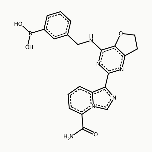 NC(=O)c1cccc2c(-c3nc4c(c(NCc5cccc(B(O)O)c5)n3)OCC4)ncn12